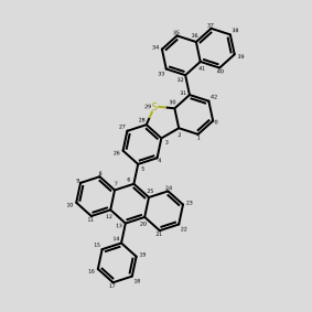 C1=CC2c3cc(-c4c5ccccc5c(-c5ccccc5)c5ccccc45)ccc3SC2C(c2cccc3ccccc23)=C1